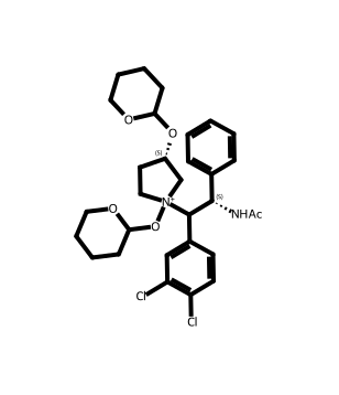 CC(=O)N[C@@H](c1ccccc1)C(c1ccc(Cl)c(Cl)c1)[N+]1(OC2CCCCO2)CC[C@H](OC2CCCCO2)C1